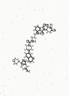 CC(=O)N1CCn2c(C3CCOCC3)nc(-c3ccnc4cc(N5CCN(C(=O)NCCCNc6cccc7c6C(=O)N(C6CCC(=O)NC6=O)C7=O)CC5)ccc34)c2C1